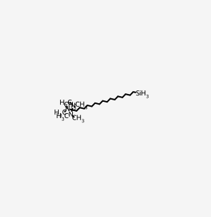 CN(C)C(CCCCCCCCCCCCCCCC[SiH3])(N(C)C)N(C)C